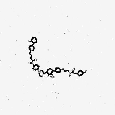 COc1c(C2CN(c3ccc(NC(=O)CCCc4ccc(-c5ccccc5F)cc4)cn3)CCO2)ccc(-c2ccc(CCCNC(=O)Cc3ccc(F)cc3)cc2)c1F